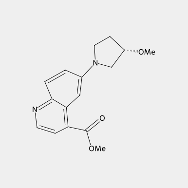 COC(=O)c1ccnc2ccc(N3CC[C@H](OC)C3)cc12